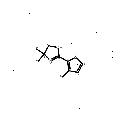 Cc1ccsc1C1=NC(C)(C)CO1